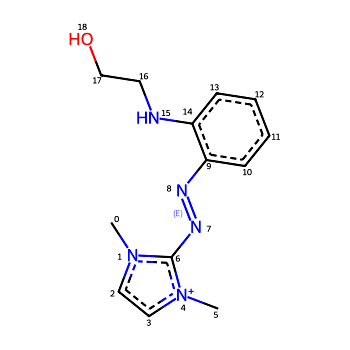 Cn1cc[n+](C)c1/N=N/c1ccccc1NCCO